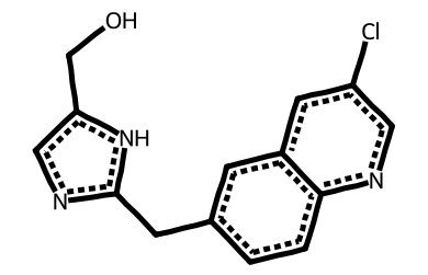 OCc1cnc(Cc2ccc3ncc(Cl)cc3c2)[nH]1